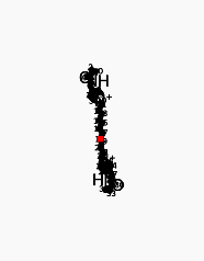 C=C(C)C(=O)NCc1cc[n+](CCCCCCCCCCCC[n+]2ccc(CNC(=O)C(=C)C)cc2)cc1